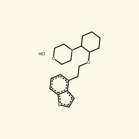 Cl.c1cc(CCOC2CCCCC2N2CCOCC2)c2ccsc2c1